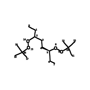 CCC(CC[C@H](CC)OOC(C)(C)C)OOC(C)(C)C